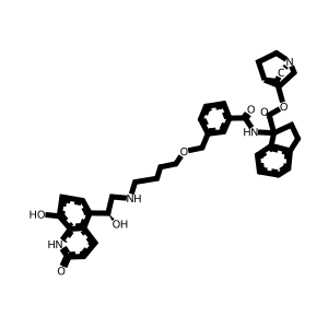 O=C(NC1(C(=O)OC2CN3CCC2CC3)CCc2ccccc21)c1cccc(COCCCCNC[C@H](O)c2ccc(O)c3[nH]c(=O)ccc23)c1